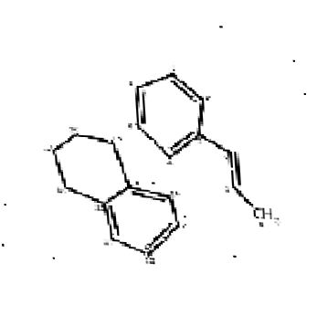 CC=Cc1ccccc1.c1ccc2c(c1)CCCC2